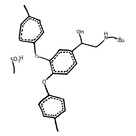 CS(=O)(=O)O.Cc1ccc(Oc2ccc(C(O)CNC(C)(C)C)cc2Oc2ccc(C)cc2)cc1